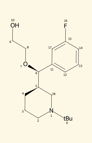 CC(C)(C)N1CCC[C@@H]([C@@H](OCCO)c2cccc(F)c2)C1